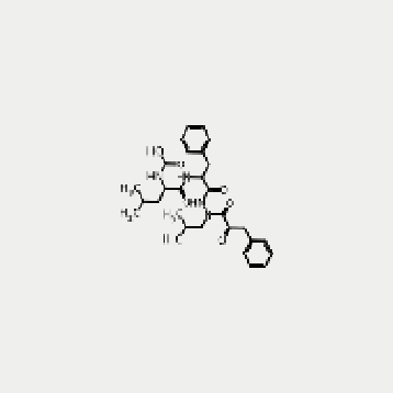 CC(C)CC(NC(=O)O)C(=O)NC(Cc1ccccc1)C(=O)NN(CC(C)C)C(=O)C(=O)Cc1ccccc1